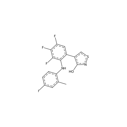 Cc1cc(I)ccc1Nc1c(-c2csnc2O)cc(F)c(F)c1F